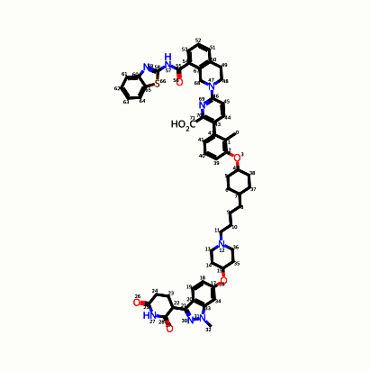 Cc1c(OC2CCC(CCCCN3CCC(Oc4ccc5c(C6CCC(=O)NC6=O)nn(C)c5c4)CC3)CC2)cccc1-c1ccc(N2CCc3cccc(C(=O)Nc4nc5ccccc5s4)c3C2)nc1C(=O)O